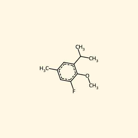 COc1c(F)cc(C)cc1C(C)C